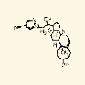 C[C@@H]1CCC2=CC[C@@H]3[C@H](CC[C@]4(C)C([C@H](C)Cn5cc(C#N)cn5)CC[C@@H]34)[C@@]2(C)CC1